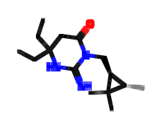 CCC1(CC)CC(=O)N(C[C@H]2[C@H](C)C2(C)C)C(=N)N1